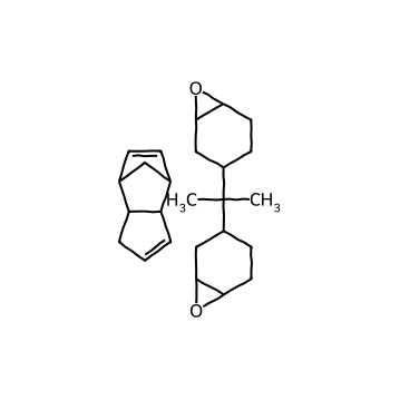 C1=CC2C3C=CC(C3)C2C1.CC(C)(C1CCC2OC2C1)C1CCC2OC2C1